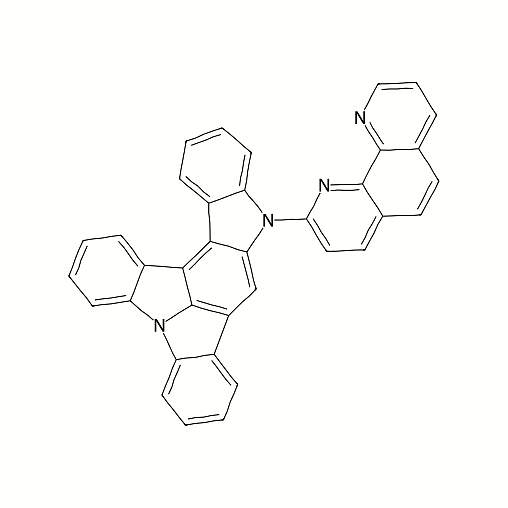 c1cnc2c(c1)ccc1ccc(-n3c4ccccc4c4c5c6ccccc6n6c7ccccc7c(cc43)c56)nc12